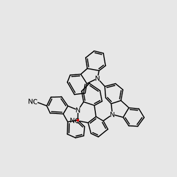 N#Cc1ccc2c(c1)c1ccccc1n2-c1ccccc1-c1c(C#N)cccc1-n1c2ccccc2c2ccc(-n3c4ccccc4c4ccccc43)cc21